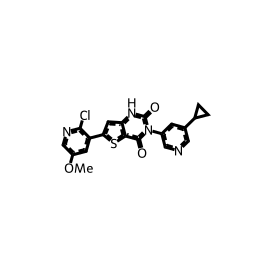 COc1cnc(Cl)c(-c2cc3[nH]c(=O)n(-c4cncc(C5CC5)c4)c(=O)c3s2)c1